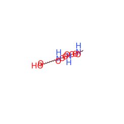 CCCCNC(=O)COCCOCCNC(=O)COCCOCCNC(=O)CCCCCCCCCCCCCCC(=O)O